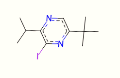 CC(C)c1ncc(C(C)(C)C)nc1I